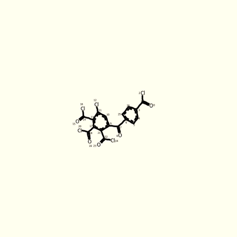 O=C(Cl)c1ccc(C(=O)c2cc(Cl)c(C(=O)Cl)c(C(=O)Cl)c2C(=O)Cl)cc1